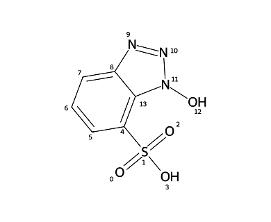 O=S(=O)(O)c1cccc2nnn(O)c12